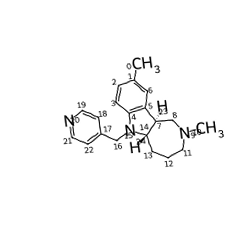 Cc1ccc2c(c1)[C@H]1CN(C)CCC[C@@H]1N2Cc1ccncc1